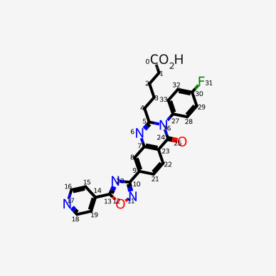 O=C(O)CCCCc1nc2cc(-c3noc(-c4ccncc4)n3)ccc2c(=O)n1-c1ccc(F)cc1